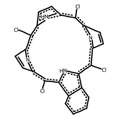 Clc1c2nc(c(Cl)c3[nH]c(c(Cl)c4nc(c(Cl)c5ccc1[nH]5)C=C4)c1ccccc31)C=C2